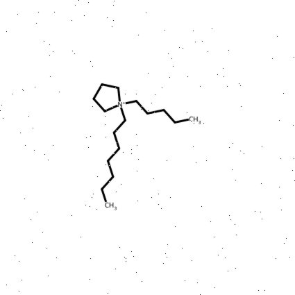 CCCCCCC[N+]1(CCCCC)CCCC1